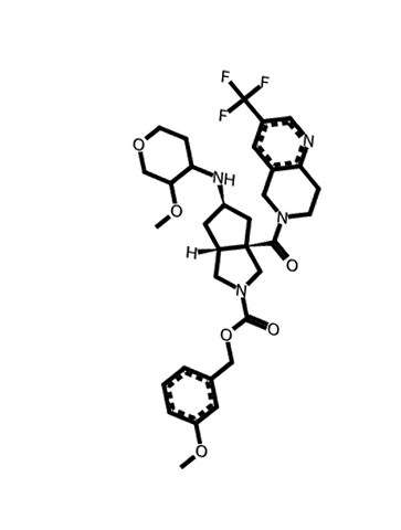 COc1cccc(COC(=O)N2C[C@@H]3C[C@@H](NC4CCOCC4OC)C[C@]3(C(=O)N3CCc4ncc(C(F)(F)F)cc4C3)C2)c1